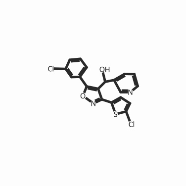 OC(c1cccnc1)c1c(-c2ccc(Cl)s2)noc1-c1cccc(Cl)c1